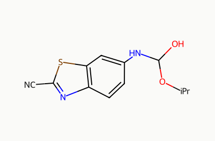 CC(C)OC(O)Nc1ccc2nc(C#N)sc2c1